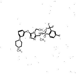 CCn1c(Oc2cccc(N3CCN(C)CC3)c2)nnc1[C@@H](C)NS(=O)(=O)c1ccc(F)cc1C(F)(F)F